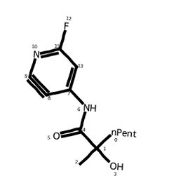 CCCCCC(C)(O)C(=O)Nc1c#cnc(F)c1